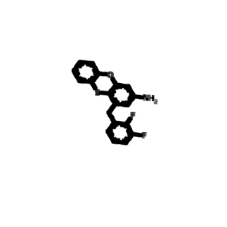 Nc1cc(Cc2cccc(F)c2F)c2c(c1)Oc1ccccc1S2